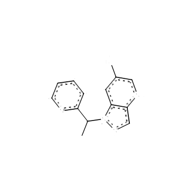 CC(c1ccccn1)n1ncc2ncc(Br)cc21